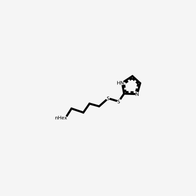 CCCCCCCCCCSSc1ncc[nH]1